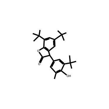 Cc1cc(C2C(=O)Oc3c2cc(C(C)(C)C)cc3C(C)(C)C)cc(C(C)(C)C)c1O